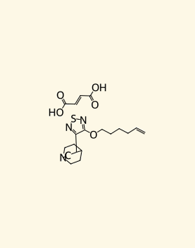 C=CCCCCOc1nsnc1C1CN2CCC1CC2.O=C(O)C=CC(=O)O